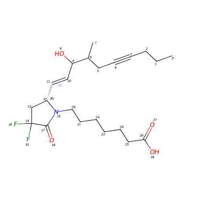 CCCC#CCC(C)C(O)/C=C/[C@H]1CC(F)(F)C(=O)N1CCCCCCC(=O)O